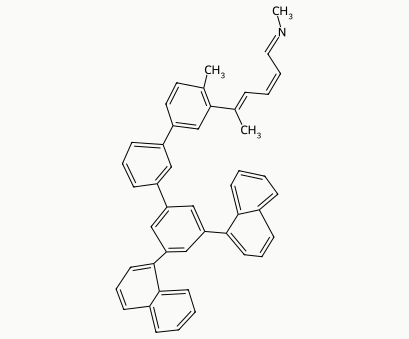 C/N=C/C=C\C=C(/C)c1cc(-c2cccc(-c3cc(-c4cccc5ccccc45)cc(-c4cccc5ccccc45)c3)c2)ccc1C